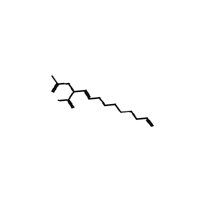 C=CCCCCCC/C=C/C(CC(=C)C)C(=C)C